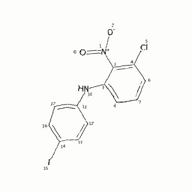 O=[N+]([O-])c1c(Cl)cccc1Nc1ccc(I)cc1